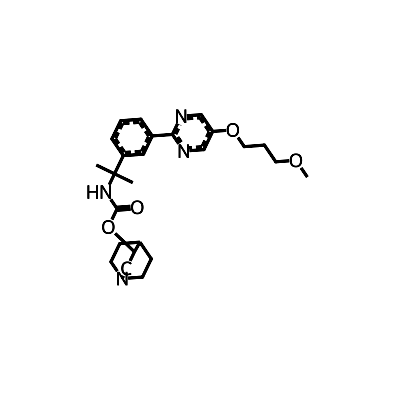 COCCCOc1cnc(-c2cccc(C(C)(C)NC(=O)OC3CN4CCC3CC4)c2)nc1